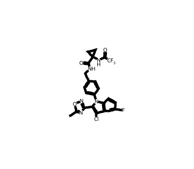 Cc1nc(-c2c(Cl)c3cc(F)ccc3n2-c2ccc(CNC(=O)C3(NC(=O)C(F)(F)F)CC3)cc2)no1